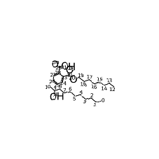 CCCCCCCCCC(C)O.CCCCCCCCOC(=O)c1ccccc1C(=O)O